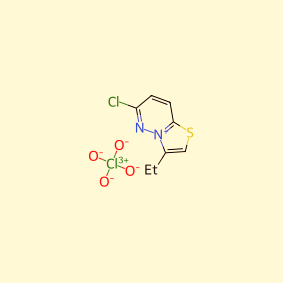 CCc1csc2ccc(Cl)n[n+]12.[O-][Cl+3]([O-])([O-])[O-]